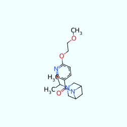 COCCOc1ccc(C(=O)N2C3CC2CN(C(C)C)C3)cn1